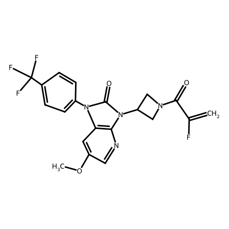 C=C(F)C(=O)N1CC(n2c(=O)n(-c3ccc(C(F)(F)F)cc3)c3cc(OC)cnc32)C1